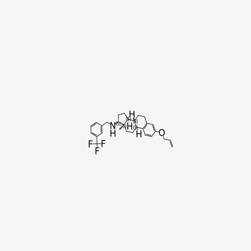 C=CCOc1ccc2c(c1)CC[C@@H]1[C@@H]2CC[C@]2(C)[C@@H](NCc3cccc(C(F)(F)F)c3)CC[C@@H]12